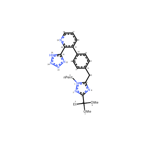 CCCCCn1nc(C(CC)(OC)OC)nc1Cc1ccc(-c2cccnc2-c2nnn[nH]2)cc1